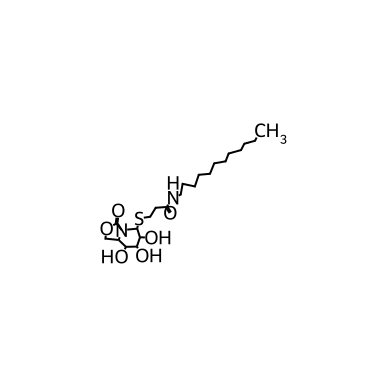 CCCCCCCCCCCCNC(=O)CCSC1C(O)C(O)C(O)C2COC(=O)N21